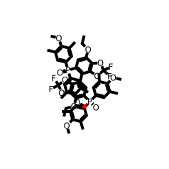 CCOc1cc(P(=O)(c2cc(C)c(OC)c(C)c2)c2cc(C)c(OC)c(C)c2)c(-c2cc(P(=O)(c3cc(C)c(OC)c(C)c3)c3cc(C)c(OC)c(C)c3)c(OCC)c3c2OC(F)(F)O3)c2c1OC(F)(F)O2